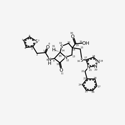 O=C(Cc1cccs1)NC1C(=O)N2CC(CSc3cnnn3Cc3ccccc3)(C(=O)O)CS[C@H]12